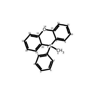 CS1(c2ccccc2)c2ccccc2Oc2ccccc21